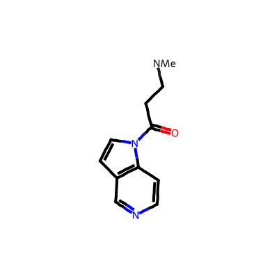 CNCCC(=O)n1ccc2cnccc21